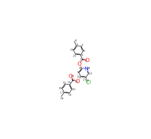 Cc1ccc(C(=O)Oc2cc(OC(=O)c3ccc(C)cc3)c(Cl)cn2)cc1